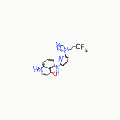 O=c1cc[nH]c2cccc(Nc3cccc(-c4nncn4CCC(F)(F)F)n3)c12